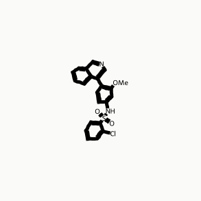 COc1cc(NS(=O)(=O)c2ccccc2Cl)ccc1-c1cncc2ccccc12